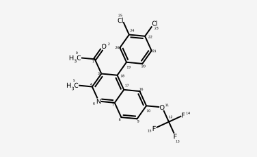 CC(=O)c1c(C)nc2ccc(OC(F)(F)F)cc2c1-c1ccc(Cl)c(Cl)c1